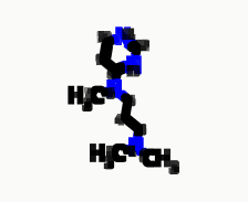 CN(C)CCCN(C)c1ccn[c]n1